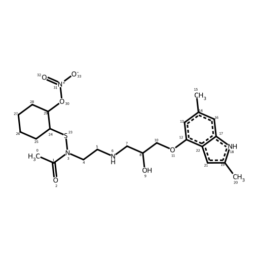 CC(=O)N(CCNCC(O)COc1cc(C)cc2[nH]c(C)cc12)SC1CCCCC1O[N+](=O)[O-]